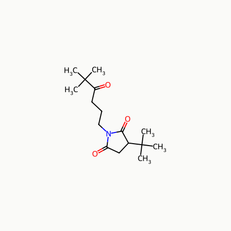 CC(C)(C)C(=O)CCCN1C(=O)CC(C(C)(C)C)C1=O